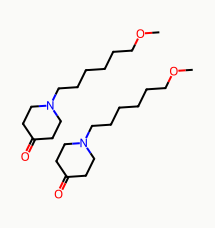 COCCCCCCN1CCC(=O)CC1.COCCCCCCN1CCC(=O)CC1